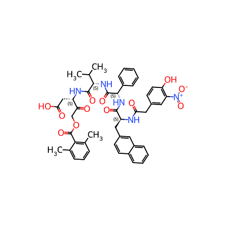 Cc1cccc(C)c1C(=O)OCC(=O)[C@H](CC(=O)O)NC(=O)[C@@H](NC(=O)[C@@H](NC(=O)[C@H](Cc1ccc2ccccc2c1)NC(=O)Cc1ccc(O)c([N+](=O)[O-])c1)c1ccccc1)C(C)C